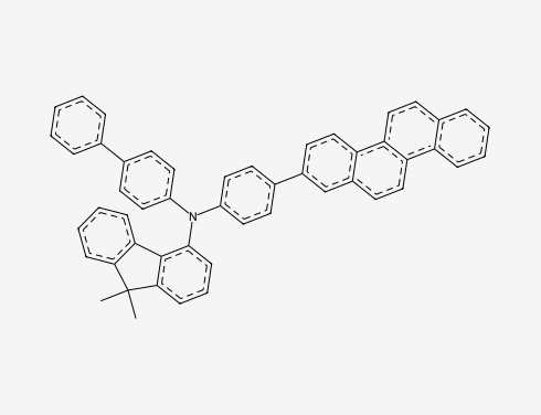 CC1(C)c2ccccc2-c2c(N(c3ccc(-c4ccccc4)cc3)c3ccc(-c4ccc5c(ccc6c7ccccc7ccc56)c4)cc3)cccc21